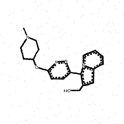 CN1CCC(Oc2ccc(-c3c(CO)cc4ccccn34)nn2)CC1